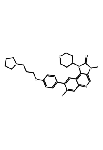 Cn1c(=O)n(C2CCOCC2)c2c3cc(-c4ccc(OCCCN5CCCC5)cc4)c(F)cc3ncc21